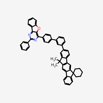 CC1(C)c2cc(-c3cccc(-c4ccc(-c5nc(-c6ccccc6)nc6c5oc5ccccc56)cc4)c3)ccc2-c2cc3c(cc21)-c1ccccc1C31CCCCC1